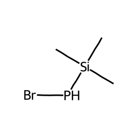 C[Si](C)(C)PBr